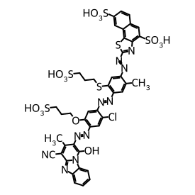 Cc1cc(N=Nc2cc(OCCCS(=O)(=O)O)c(N=Nc3c(C)c(C#N)c4nc5ccccc5n4c3O)cc2Cl)c(SCCCS(=O)(=O)O)cc1N=Nc1nc2c(S(=O)(=O)O)cc3ccc(S(=O)(=O)O)cc3c2s1